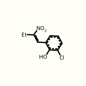 CCC(=Cc1cccc(Cl)c1O)[N+](=O)[O-]